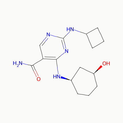 NC(=O)c1cnc(NC2CCC2)nc1N[C@@H]1CCC[C@H](O)C1